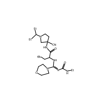 CCNC(=O)N=C(NC(CC(C)(C)C)C(=O)NC1(C#N)CCN(C(CC)CC)C1)N1CCOCC1